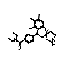 CCN(CC)C(=O)c1ccc(C2CC3(CCNCC3)Oc3cc(C)c(C)c(C)c32)cc1